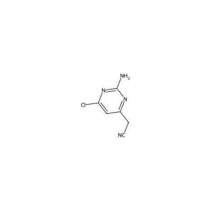 N#CCc1cc(Cl)nc(N)n1